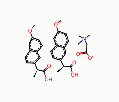 COc1ccc2cc([C@H](C)C(=O)O)ccc2c1.COc1ccc2cc([C@H](C)C(=O)O)ccc2c1.C[N+](C)(C)CC(=O)[O-]